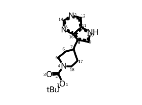 CC(C)(C)OC(=O)N1CCC(c2c[nH]c3cncnc23)CC1